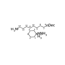 C1CCCCC1.CCCCCCCCCCCCCCCCCCN.N.N